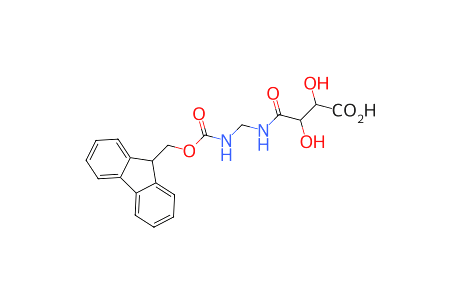 O=C(NCNC(=O)C(O)C(O)C(=O)O)OCC1c2ccccc2-c2ccccc21